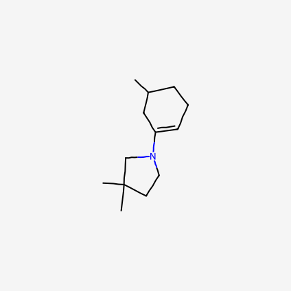 CC1CCC=C(N2CCC(C)(C)C2)C1